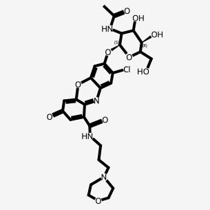 CC(=O)NC1C(O)[C@@H](O)C(CO)O[C@H]1Oc1cc2oc3cc(=O)cc(C(=O)NCCCN4CCOCC4)c-3nc2cc1Cl